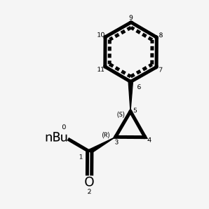 CCCCC(=O)[C@@H]1C[C@@H]1c1ccccc1